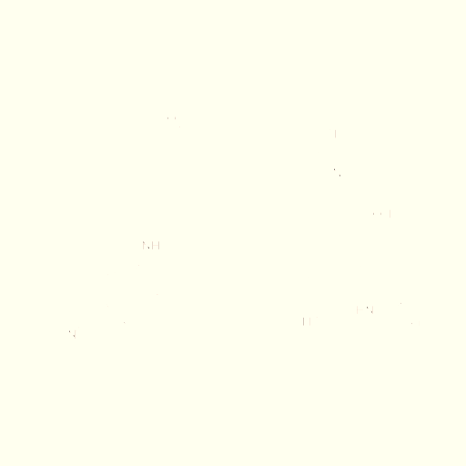 CC(CCCCC(Oc1cccc(C(NC(=O)OC2CN3CCC2CC3)c2ccccc2)c1)C(=O)O)NCC(O)c1ccc(O)c2[nH]c(=O)ccc12